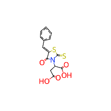 O=C(O)CC(C(=O)O)N1C(=O)/C(=C/c2ccccc2)SC1=S